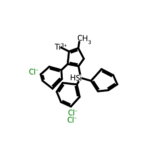 CC1=[C]([Ti+3])C(c2ccccc2)=C([SiH](c2ccccc2)c2ccccc2)C1.[Cl-].[Cl-].[Cl-]